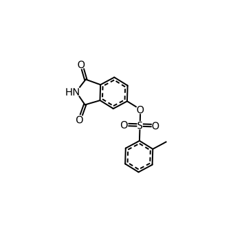 Cc1ccccc1S(=O)(=O)Oc1ccc2c(c1)C(=O)NC2=O